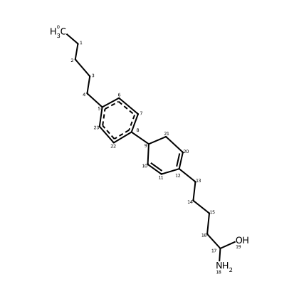 CCCCCc1ccc(C2C=CC(CCCCC(N)O)=CC2)cc1